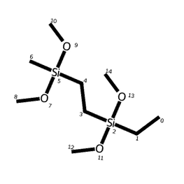 CC[Si](CC[Si](C)(OC)OC)(OC)OC